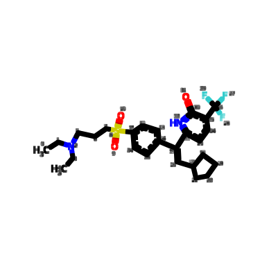 CCN(CC)CCCS(=O)(=O)c1ccc(C(=CC2CCCC2)c2ccc(C(F)(F)F)c(=O)[nH]2)cc1